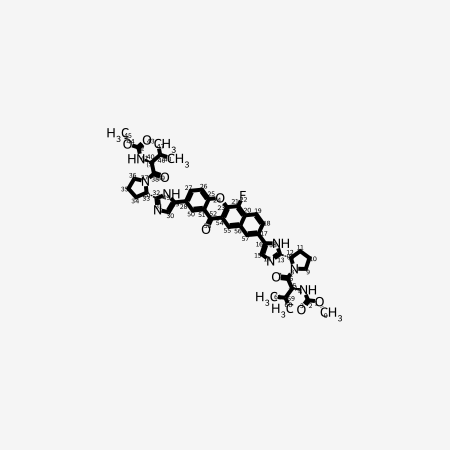 COC(=O)N[C@H](C(=O)N1CCC[C@H]1c1ncc(-c2ccc3c(F)c4oc5ccc(-c6cnc([C@@H]7CCCN7C(=O)[C@@H](NC(=O)OC)C(C)C)[nH]6)cc5c(=O)c4cc3c2)[nH]1)C(C)C